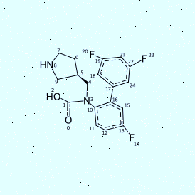 O=C(O)N(C[C@@H]1CCNC1)c1ccc(F)cc1-c1cc(F)cc(F)c1